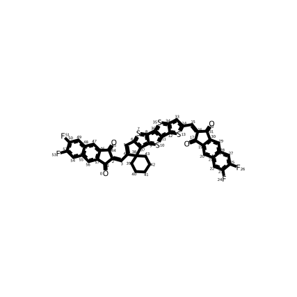 O=C1C(=CC2=Cc3sc4c(sc5c6sc(C=C7C(=O)c8cc9cc(F)c(F)cc9cc8C7=O)cc6sc45)c3C23CCCCC3)C(=O)c2cc3cc(F)c(F)cc3cc21